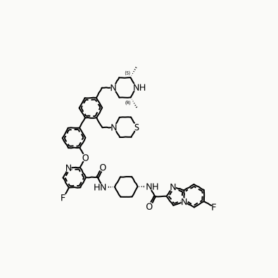 C[C@@H]1CN(Cc2ccc(-c3cccc(Oc4ncc(F)cc4C(=O)N[C@H]4CC[C@@H](NC(=O)c5cn6cc(F)ccc6n5)CC4)c3)c(CN3CCSCC3)c2)C[C@H](C)N1